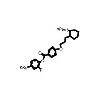 CCCCCC1CCCCC1CCCOc1ccc(C(=O)Oc2ccc(CCCC)cc2F)cc1